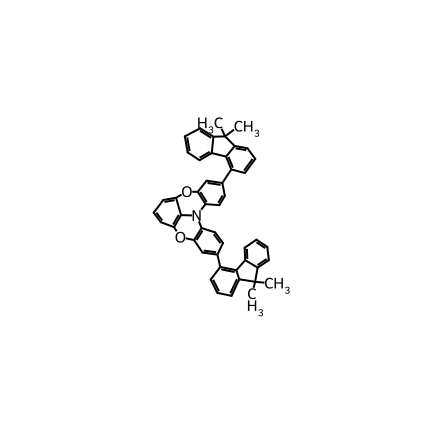 CC1(C)c2ccccc2-c2c(-c3ccc4c(c3)Oc3cccc5c3N4c3ccc(-c4cccc6c4-c4ccccc4C6(C)C)cc3O5)cccc21